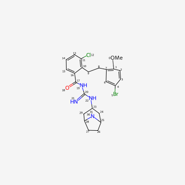 COc1ccc(Br)cc1CCc1c(Cl)cccc1C(=O)NC(=N)NC1CC2CCC(C1)N2C